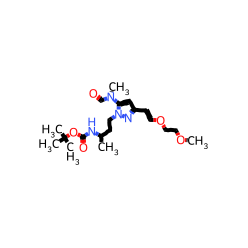 COCCO/C=C/c1cc(N(C)C=O)n(CCC(C)NC(=O)OC(C)(C)C)n1